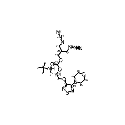 CC(C)(C)NC[C@@H](COc1nsnc1N1CCOCC1)OC(=O)OCC(CN=[N+]=[N-])CN=[N+]=[N-]